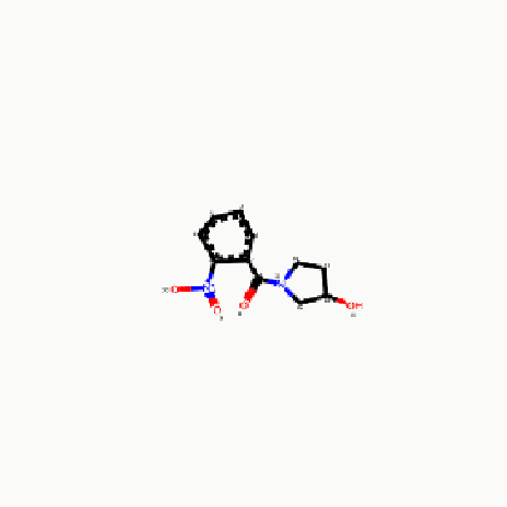 O=C(c1ccccc1[N+](=O)[O-])N1CCC(O)C1